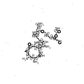 CNC(=O)c1ccccc1Sc1ccc2c(/C=C/c3ccccn3)nn(C(=O)N(C)CCNC(=O)OCc3ccc(NC(=O)[C@H](CCCNC(N)=O)NC(=O)[C@@H](NC(=O)CCCC(=O)N[C@H](C(=O)N[C@@H](CCN)C(=O)N[C@H]4CCNC(=O)[C@H]([C@@H](C)O)NC(=O)[C@H](CCN)NC(=O)[C@H](CCN)NC(=O)[C@H](CC(C)C)NC(=O)[C@@H](Cc5ccccc5)NC(=O)[C@H](CCN)NC4=O)[C@@H](C)O)C(C)C)cc3)c2c1